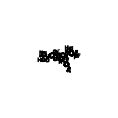 Cc1ncnc(C(=O)N2CCC3(CC2)O[C@H](C)c2c3c(=O)n3nc(-c4ccc(CN(C)C)cc4F)nc3n2CC(=O)Nc2ccc(C(F)(F)F)cc2Cl)c1O